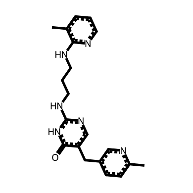 Cc1ccc(Cc2cnc(NCCCNc3ncccc3C)[nH]c2=O)cn1